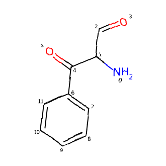 NC(C=O)C(=O)c1ccccc1